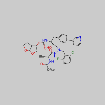 COC(=O)NC(C(=O)NN(Cc1c(F)cccc1Cl)CC(O)C(Cc1ccc(-c2cccnc2)cc1)NC(=O)OC1COC2OCCC12)C(C)(C)C